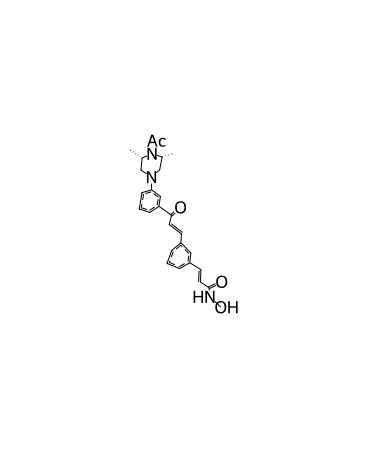 CC(=O)N1[C@H](C)CN(c2cccc(C(=O)/C=C/c3cccc(/C=C/C(=O)NO)c3)c2)C[C@@H]1C